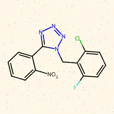 O=[N+]([O-])c1ccccc1-c1nnnn1Cc1c(F)cccc1Cl